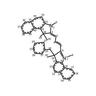 CN1/C(=C/C=C/C2=[N+](C)c3c(ccc4ccccc34)C2(C)Cc2ccccc2)C(C)(C)c2c1ccc1ccccc21